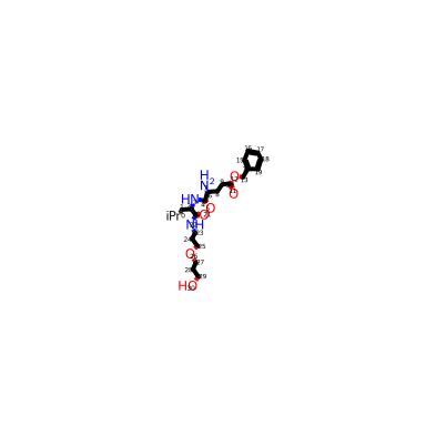 CC(C)CC(NC(=O)C(N)CCC(=O)OCc1ccccc1)C(=O)NCCCOCCCO